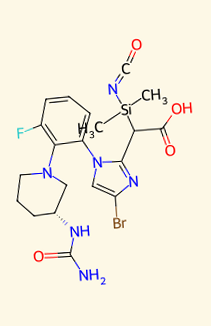 C[Si](C)(N=C=O)C(C(=O)O)c1nc(Br)cn1-c1cccc(F)c1N1CCC[C@@H](NC(N)=O)C1